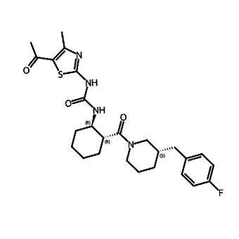 CC(=O)c1sc(NC(=O)N[C@@H]2CCCC[C@H]2C(=O)N2CCC[C@@H](Cc3ccc(F)cc3)C2)nc1C